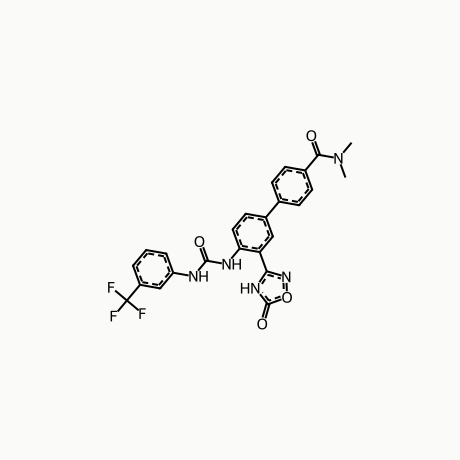 CN(C)C(=O)c1ccc(-c2ccc(NC(=O)Nc3cccc(C(F)(F)F)c3)c(-c3noc(=O)[nH]3)c2)cc1